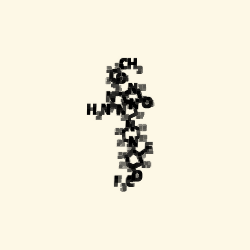 Cc1ccc(-c2nc(N)nc3c2ncc(=O)n3CCN2CCN(c3ccc(OC(F)(F)F)cc3F)CC2)o1